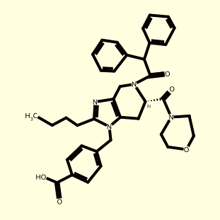 CCCCc1nc2c(n1Cc1ccc(C(=O)O)cc1)C[C@@H](C(=O)N1CCOCC1)N(C(=O)C(c1ccccc1)c1ccccc1)C2